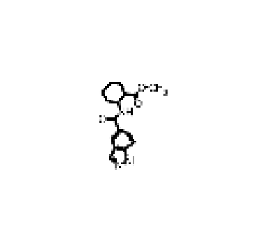 COC(=O)C1CCCCC1NC(=O)c1ccc2[nH]ncc2c1